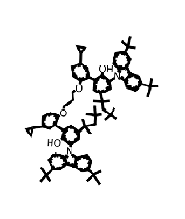 CC(C)(C)CC(C)(C)c1cc(-c2cc(C3CC3)ccc2OCCCOc2ccc(C3CC3)cc2-c2cc(C(C)(C)CC(C)(C)C)cc(-n3c4ccc(C(C)(C)C)cc4c4cc(C(C)(C)C)ccc43)c2O)c(O)c(-n2c3ccc(C(C)(C)C)cc3c3cc(C(C)(C)C)ccc32)c1